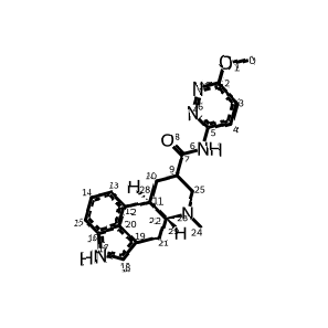 COc1ccc(NC(=O)C2C[C@@H]3c4cccc5[nH]cc(c45)C[C@H]3N(C)C2)nn1